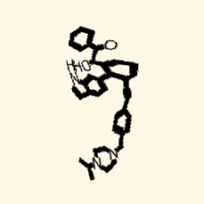 CC(C)N1CCN(Cc2ccc(C#Cc3cccc(C(O)C(=O)c4ccccc4)c3-c3ccc4cc[nH]c4c3)cc2)CC1